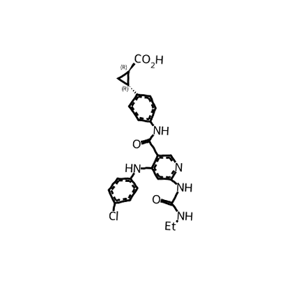 CCNC(=O)Nc1cc(Nc2ccc(Cl)cc2)c(C(=O)Nc2ccc([C@@H]3C[C@H]3C(=O)O)cc2)cn1